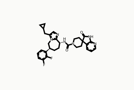 O=C(N[C@@H]1CC[C@@H](c2cccc(F)c2F)Cn2c(CC3CC3)cnc21)N1CCC2(CC1)C(=O)Nc1ncccc12